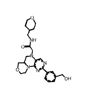 O=C(CN1CC2COCCN2c2nc(-c3cccc(CO)c3)ncc21)NCC1CCOCC1